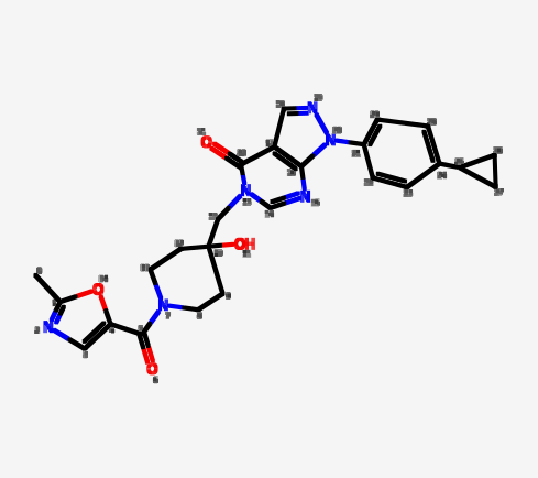 Cc1ncc(C(=O)N2CCC(O)(Cn3cnc4c(cnn4-c4ccc(C5CC5)cc4)c3=O)CC2)o1